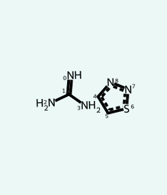 N=C(N)N.c1csnn1